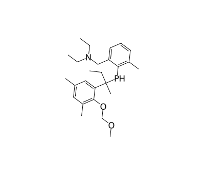 CCN(CC)Cc1cccc(C)c1PC(C)(CC)c1cc(C)cc(C)c1OCOC